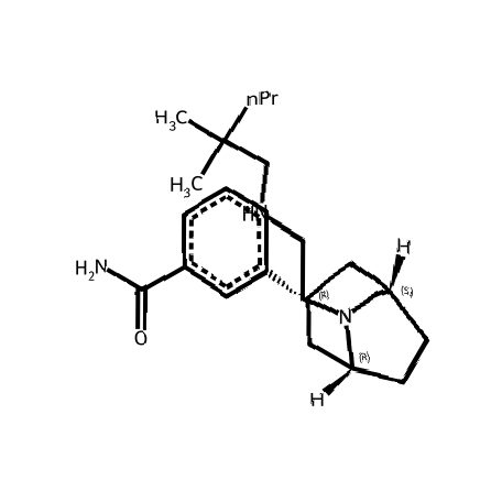 CCCC(C)(C)CNCCN1[C@@H]2CC[C@H]1C[C@@H](c1cccc(C(N)=O)c1)C2